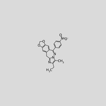 CCc1nc2n(c1C)N=C(c1ccc([N+](=O)[O-])cc1)c1cc3c(cc1C2)OCO3